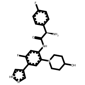 N[C@@H](C(=O)Nc1cc(F)c(-c2cn[nH]c2)cc1N1CCC(O)CC1)c1ccc(F)cc1